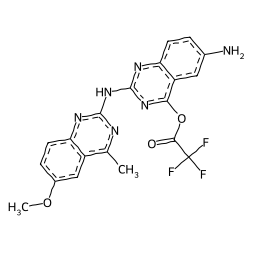 COc1ccc2nc(Nc3nc(OC(=O)C(F)(F)F)c4cc(N)ccc4n3)nc(C)c2c1